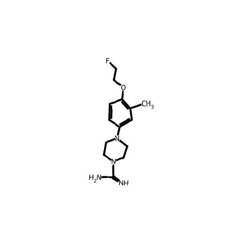 Cc1cc(N2CCN(C(=N)N)CC2)ccc1OCCF